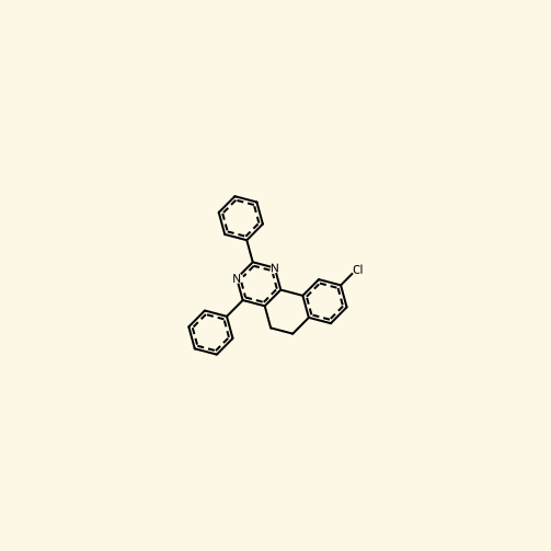 Clc1ccc2c(c1)-c1nc(-c3ccccc3)nc(-c3ccccc3)c1CC2